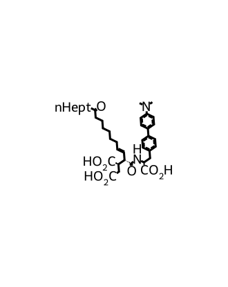 CCCCCCCC(=O)CCCCCC/C=C/[C@H](C(=O)N[C@@H](Cc1ccc(-c2ccc(N(C)C)cc2)cc1)C(=O)O)[C@@H](CC(=O)O)C(=O)O